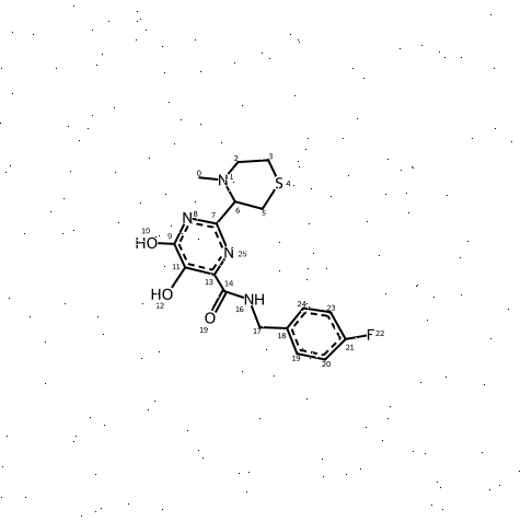 CN1CCSCC1c1nc(O)c(O)c(C(=O)NCc2ccc(F)cc2)n1